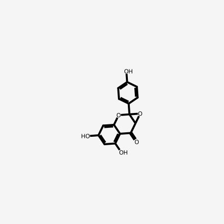 O=C1c2c(O)cc(O)cc2OC2(c3ccc(O)cc3)OC12